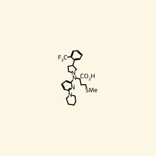 CSCC[C@@H](C(=O)O)N(c1cccc(N2CCCCC2)n1)N1CCC(c2ccccc2C(F)(F)F)C1